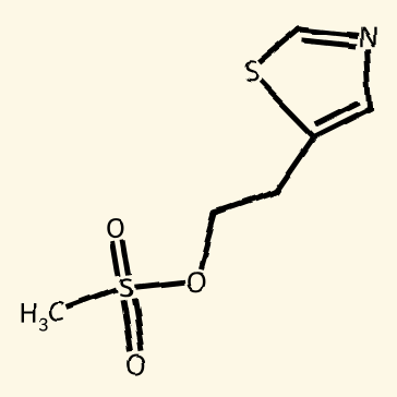 CS(=O)(=O)OCCc1cncs1